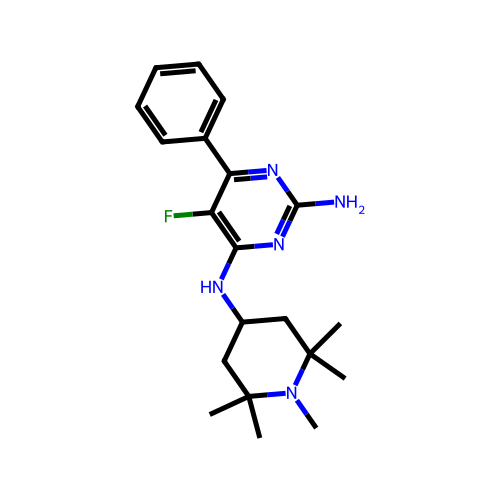 CN1C(C)(C)CC(Nc2nc(N)nc(-c3ccccc3)c2F)CC1(C)C